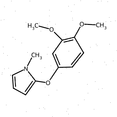 COc1ccc(Oc2cc[c]n2C)cc1OC